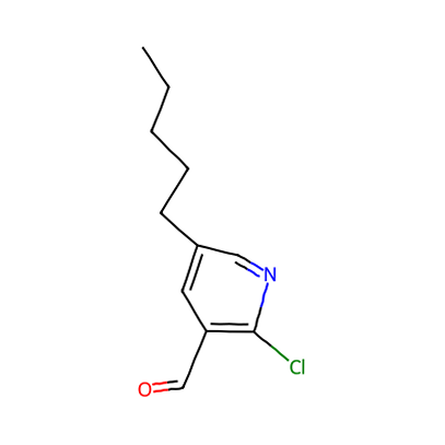 CCCCCc1cnc(Cl)c(C=O)c1